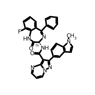 Cn1ccc2cc(-c3nn4cccnc4c3C(=O)N[C@H]3N=C(c4ccccc4)c4cccc(F)c4NC3=O)ccc21